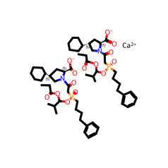 CCC(=O)OC(OP(=O)(CCCCc1ccccc1)CC(=O)N1C[C@H](C2CCCCC2)C[C@H]1C(=O)[O-])C(C)C.CCC(=O)OC(OP(=O)(CCCCc1ccccc1)CC(=O)N1C[C@H](C2CCCCC2)C[C@H]1C(=O)[O-])C(C)C.[Ca+2]